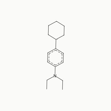 CCN(CC)c1ccc([C]2CCCCC2)cc1